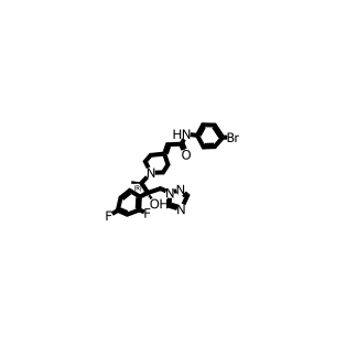 C[C@@H](N1CCC(=CC(=O)Nc2ccc(Br)cc2)CC1)[C@](O)(Cn1cncn1)c1ccc(F)cc1F